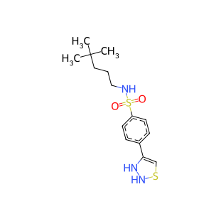 CC(C)(C)CCCNS(=O)(=O)c1ccc(C2=CSNN2)cc1